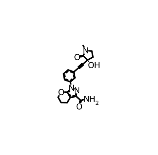 CN1CC[C@@](O)(C#Cc2cccc(-n3nc(C(N)=O)c4c3OCCC4)c2)C1=O